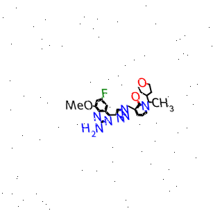 COc1cc(F)cc2c(-c3cn(Cc4cccn(C(C)C5CCOCC5)c4=O)nn3)nc(N)nc12